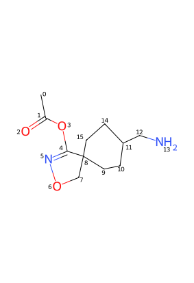 CC(=O)OC1=NOCC12CCC(CN)CC2